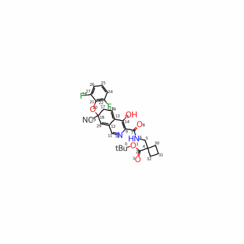 CC(C)(C)OC(=O)C1(CNC(=O)c2ncc3c(c2O)=CCC(C#N)(Oc2c(F)cccc2F)C=3)CCC1